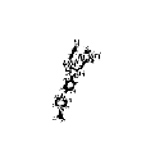 N#CCNC(=O)C(Cc1nc[nH]n1)NC(=O)c1ccc(N2CCN(C3CC3)CC2)cc1